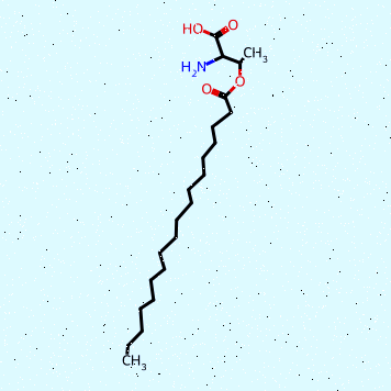 CCCCCCCCCCCCCCCCCC(=O)OC(C)C(N)C(=O)O